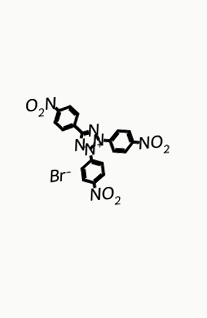 O=[N+]([O-])c1ccc(-c2nn(-c3ccc([N+](=O)[O-])cc3)[n+](-c3ccc([N+](=O)[O-])cc3)n2)cc1.[Br-]